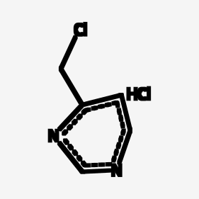 Cl.ClCc1ccncn1